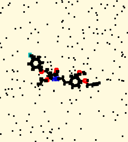 C#CCOc1ccc(CCNC(=O)[C@@H](COc2ccc(F)cc2)OCC)cc1OC